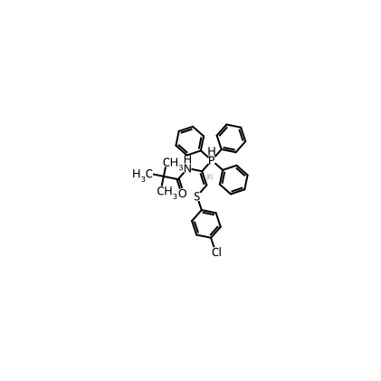 CC(C)(C)C(=O)N/C(=C\Sc1ccc(Cl)cc1)[PH](c1ccccc1)(c1ccccc1)c1ccccc1